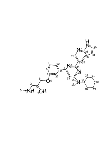 CNCC(O)COc1cccc(-c2cc(N(C)C3CCCCC3)nc(-c3cnc4[nH]ccc4c3)n2)c1